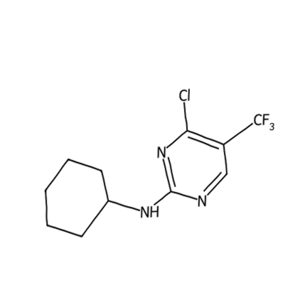 FC(F)(F)c1cnc(NC2CCCCC2)nc1Cl